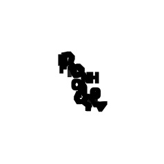 C=C1C2=C(C(=O)N1C1CC1)N(CC(=O)Nc1ccc(-c3cccnc3F)nc1)CCC2